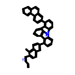 C=C/C=C\c1ccc2cc(-c3cccc4c3c3cccc5c6c(-c7ccc8c(ccc9ccccc98)c7)cccc6n4c35)ccc2c1C